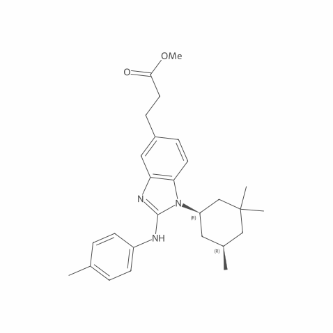 COC(=O)CCc1ccc2c(c1)nc(Nc1ccc(C)cc1)n2[C@@H]1C[C@H](C)CC(C)(C)C1